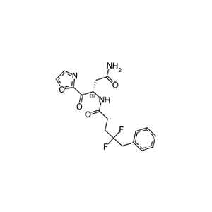 NC(=O)C[C@H](NC(=O)[CH]CC(F)(F)Cc1ccccc1)C(=O)c1ncco1